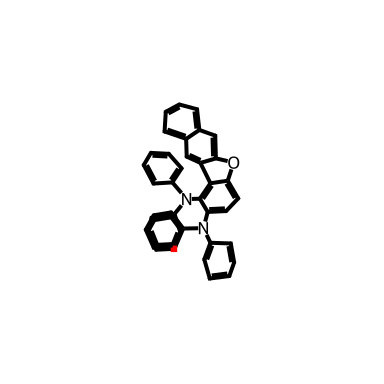 c1ccc(N(c2ccccc2)c2ccc3oc4cc5ccccc5cc4c3c2N(c2ccccc2)c2ccccc2)cc1